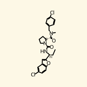 CC[C@H](NC(=O)N1CCC[C@@H]1C(=O)N(C)Cc1ccc(Cl)cc1)c1cc2cc(Cl)ccc2o1